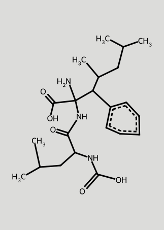 CC(C)CC(NC(=O)O)C(=O)NC(N)(C(=O)O)C(c1ccccc1)C(C)CC(C)C